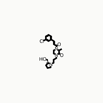 CC1C(=O)N(CCCN2CCC[C@H]2CO)CCN1C(=O)C=Cc1cccc(Cl)c1